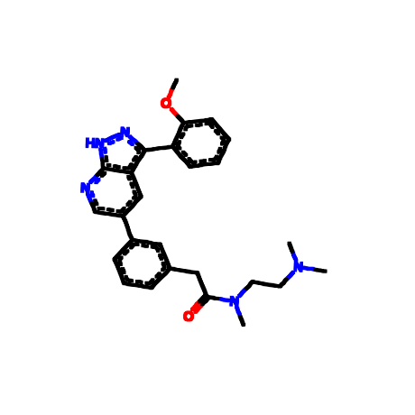 COc1ccccc1-c1n[nH]c2ncc(-c3cccc(CC(=O)N(C)CCN(C)C)c3)cc12